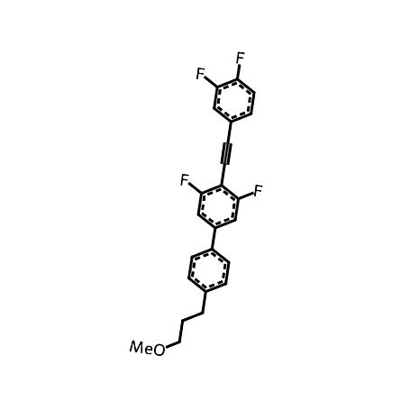 COCCCc1ccc(-c2cc(F)c(C#Cc3ccc(F)c(F)c3)c(F)c2)cc1